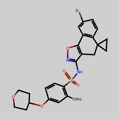 COc1cc(OC2CCOCC2)ccc1S(=O)(=O)Nc1noc2c1CC1(CC1)c1ccc(Br)cc1-2